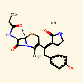 CSCC(=O)N[C@@H]1C(=O)N2C(C(=O)O)=C(C(Cc3ccc(O)cc3)=C3CCNC3=O)CS[C@H]12.[NaH]